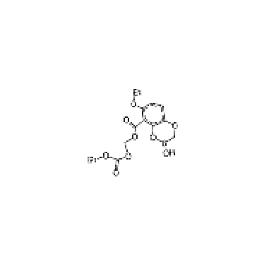 CCOc1ccc2c(c1C(=O)OCOC(=O)OC(C)C)OB(O)CO2